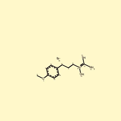 COc1ccc(CCC[N+](O)=C(N)S)cc1.[Br-]